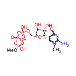 COP(=O)(O)OP(=O)(O)OP(=O)(O)OC[C@H]1O[C@@H](c2cn(C)c(N)nc2=O)[C@@H](O)C1O